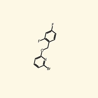 Fc1ccc(COc2cccc(Br)n2)c(F)c1